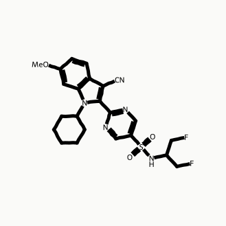 COc1ccc2c(C#N)c(-c3ncc(S(=O)(=O)NC(CF)CF)cn3)n(C3CCCCC3)c2c1